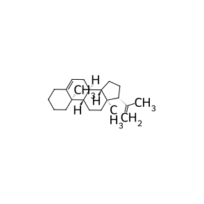 C=C(C)[C@H]1CC[C@H]2[C@@H]3CC=C4CCCC[C@]4(C)[C@H]3CC[C@]12C